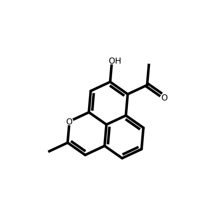 CC(=O)c1c(O)cc2c3c(cccc13)C=C(C)O2